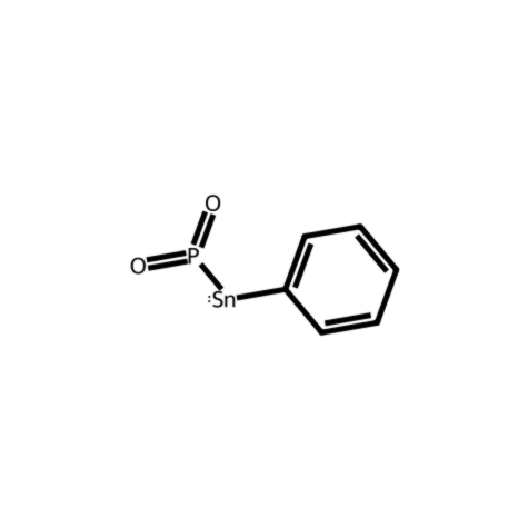 O=[P](=O)[Sn][c]1ccccc1